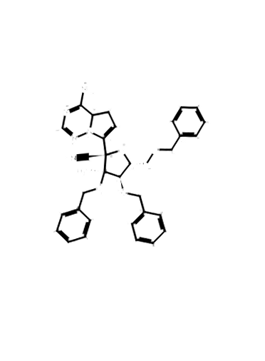 C[C@@]1(OCc2ccccc2)[C@H](OCc2ccccc2)[C@@H](COCc2ccccc2)O[C@@]1(C#N)C1=CCC2C(N)=NC=NN12